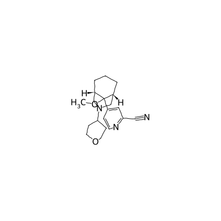 COC1(c2ccnc(C#N)c2)[C@@H]2CCC[C@H]1CN(C1CCOCC1)C2